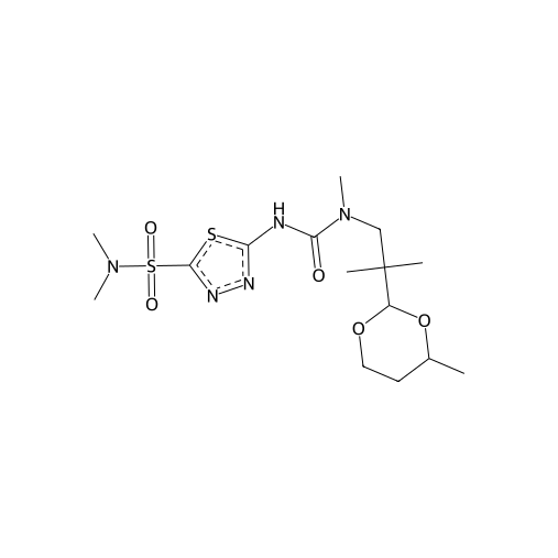 CC1CCOC(C(C)(C)CN(C)C(=O)Nc2nnc(S(=O)(=O)N(C)C)s2)O1